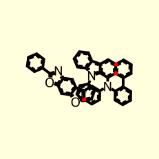 c1ccc(-c2nc3cc4c(cc3o2)oc2ccc(N(c3ccccc3-c3ccccc3)c3cccc5c6ccccc6n(-c6ccccc6)c35)cc24)cc1